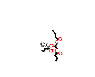 CCCC(=O)OCC(COC(=O)CCC)OC(=O)CCC.[AlH3]